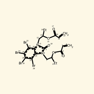 C=CC(=O)OC(CC)Cn1c(=O)n(CC(CC)OC(=O)C=C)c2c(Br)c(Br)c(Br)c(Br)c21